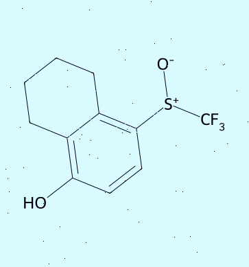 [O-][S+](c1ccc(O)c2c1CCCC2)C(F)(F)F